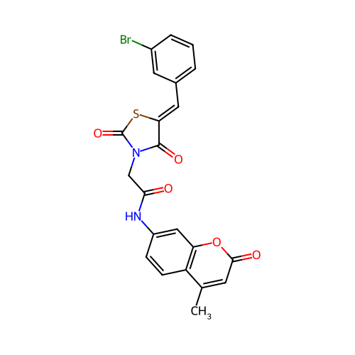 Cc1cc(=O)oc2cc(NC(=O)CN3C(=O)S/C(=C\c4cccc(Br)c4)C3=O)ccc12